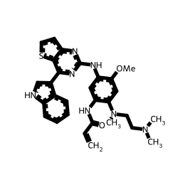 C=CC(=O)Nc1cc(Nc2nc(-c3c[nH]c4ccccc34)c3sccc3n2)c(OC)cc1N(C)CCN(C)C